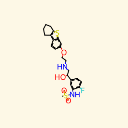 CS(=O)(=O)Nc1cc(C(O)CNCCOc2ccc3c4c(sc3c2)CCCC4)ccc1F